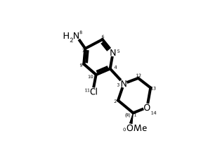 CO[C@H]1CN(c2ncc(N)cc2Cl)CCO1